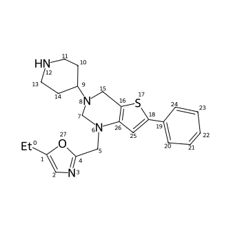 CCc1cnc(CN2CN(C3CCNCC3)Cc3sc(-c4ccccc4)cc32)o1